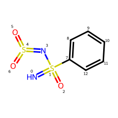 N=S(=O)(N=S(=O)=O)c1ccccc1